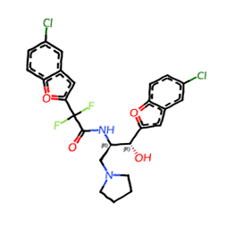 O=C(N[C@H](CN1CCCC1)[C@@H](O)c1cc2cc(Cl)ccc2o1)C(F)(F)c1cc2cc(Cl)ccc2o1